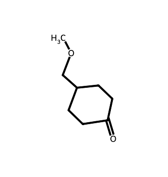 COCC1CCC(=O)CC1